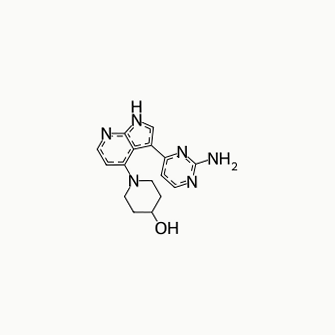 Nc1nccc(-c2c[nH]c3nccc(N4CCC(O)CC4)c23)n1